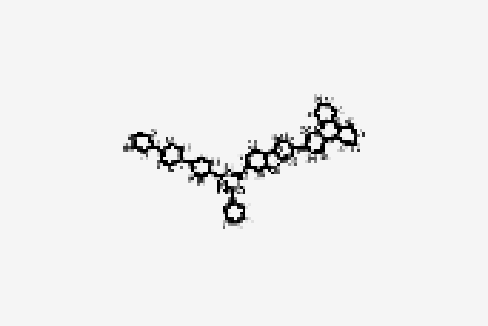 c1ccc(-c2ccc(-c3ccc(-c4nc(-c5ccccc5)nc(-c5ccc6c(c5)oc5cc(-c7ccc8c9ccccc9c9ccccc9c8c7)ccc56)n4)cc3)cc2)cc1